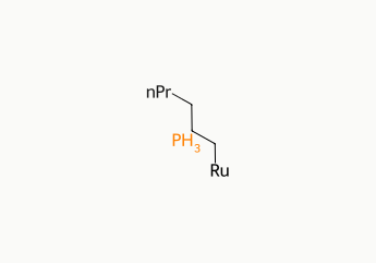 CCCCC[CH2][Ru].P